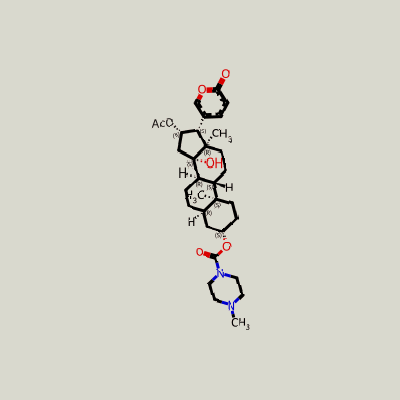 CC(=O)O[C@H]1C[C@]2(O)[C@@H]3CC[C@@H]4C[C@@H](OC(=O)N5CCN(C)CC5)CC[C@]4(C)[C@H]3CC[C@]2(C)[C@H]1c1ccc(=O)oc1